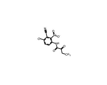 CCC(=O)C(=O)Nc1ccc(Cl)c(C#N)c1[N+](=O)[O-]